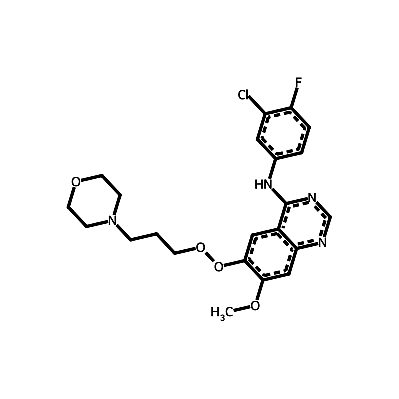 COc1cc2ncnc(Nc3ccc(F)c(Cl)c3)c2cc1OOCCCN1CCOCC1